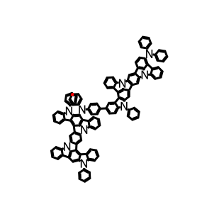 c1ccc(N(c2ccccc2)c2ccc3c4cc5c(cc4n4c6ccccc6c2c34)c2cc3c(c4cc(-c6ccc(N(c7ccccc7)c7c8c9ccccc9n9c%10cc%11c%12c%13c%14ccccc%14n(-c%14ccccc%14)c%13cc%13c%14ccccc%14n(c%11cc%10c(c%10c%11ccccc%11n(-c%11ccccc%11)c7%10)c89)c%13%12)cc6)ccc4n3-c3ccccc3)c3c4ccccc4n5c23)cc1